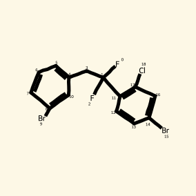 FC(F)([CH]c1cccc(Br)c1)c1ccc(Br)cc1Cl